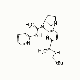 C=C(NCC(C)(C)C)c1ccc2c(n1)N(C(=C)Nc1ccccn1)C1CCN2C1